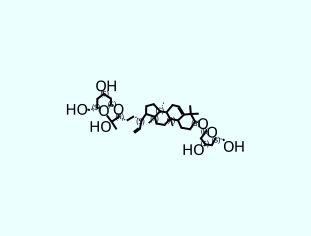 C=C[C@H](CC[C@@H](O[C@H]1C[C@@H](O)C[C@@H](CO)O1)C(C)(C)O)C1CC[C@@]2(C)C3CC=C4C(CC[C@H](O[C@H]5C[C@@H](O)C[C@@H](CO)O5)C4(C)C)[C@]3(C)CC[C@]12C